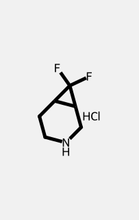 Cl.FC1(F)C2CCNCC21